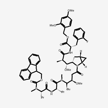 CC[C@H](C)C([C@@H](CC(=O)N1[C@H]2C[C@H]2C[C@H]1[C@H](OC)[C@@H](C)C(=O)N[C@@H](Cc1ccccc1F)C(=O)OCc1ccc(OC)cc1OC)OC)N(C)C(=O)[C@@H](NC(=O)[C@H](C(C)C)N(C)C(=O)OCC1c2ccccc2-c2ccccc21)C(C)C